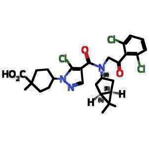 CC1(C(=O)O)CCC(n2ncc(C(=O)N(CC(=O)c3c(Cl)cccc3Cl)[C@H]3C[C@@H]4[C@H](C3)C4(C)C)c2Cl)CC1